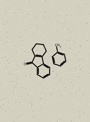 Cc1ccccc1.O=C1C2=C(CCCC2)c2ccccc21